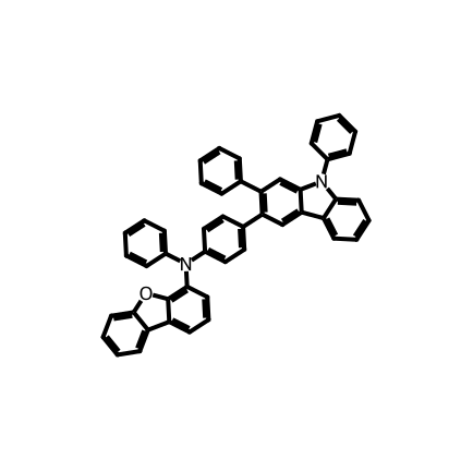 c1ccc(-c2cc3c(cc2-c2ccc(N(c4ccccc4)c4cccc5c4oc4ccccc45)cc2)c2ccccc2n3-c2ccccc2)cc1